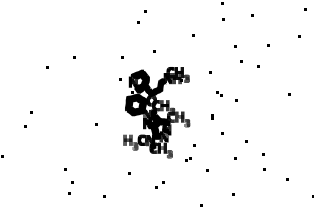 CNCCC(Oc1ccccc1-n1nc2c(N(C)C)nnc(C)c2c1C)c1cccnc1